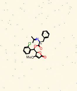 COC1=CC(=O)OC1C(OC(=O)[C@H](Cc1ccccc1)N=C(C)C)c1ccccc1Cl